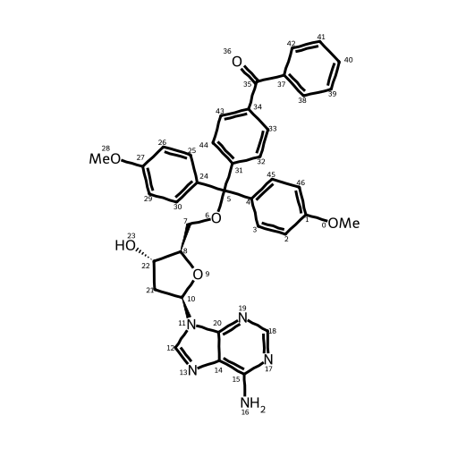 COc1ccc(C(OC[C@H]2O[C@@H](n3cnc4c(N)ncnc43)C[C@@H]2O)(c2ccc(OC)cc2)c2ccc(C(=O)c3ccccc3)cc2)cc1